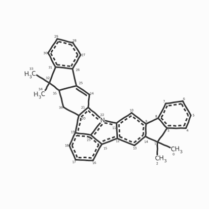 CC1(C)c2ccccc2-c2cc3c(cc21)c1cccc2c4c(n3c21)C=C1c2ccccc2C(C)(C)C1C4